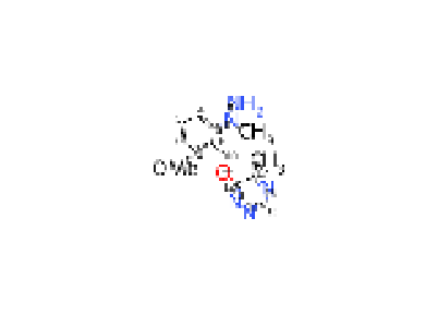 COc1cccc(N(C)N)c1COc1nncnc1C